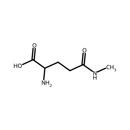 CNC(=O)CCC(N)C(=O)O